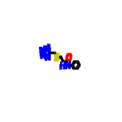 Cn1nnnc1CSCCC(=O)Nc1ccccc1